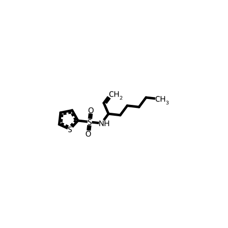 C=CC(CCCCC)NS(=O)(=O)c1cccs1